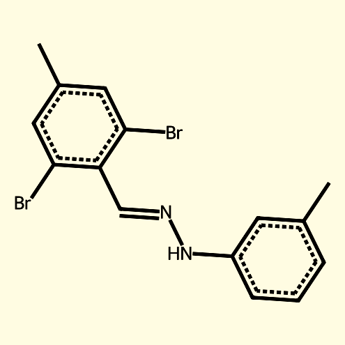 Cc1cccc(N/N=C/c2c(Br)cc(C)cc2Br)c1